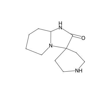 O=C1NC2CCCCN2C12CCNCC2